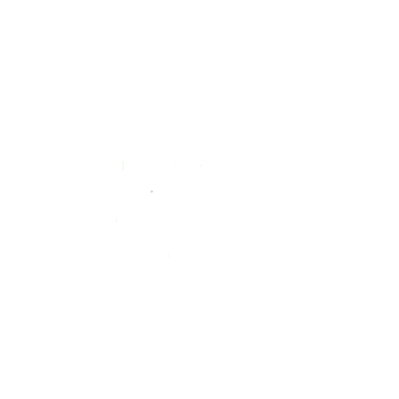 C1COCCO1.ClCC(Cl)(Cl)Cl